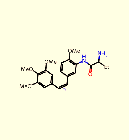 CCC(N)C(=O)Nc1cc(/C=C\c2cc(OC)c(OC)c(OC)c2)ccc1OC